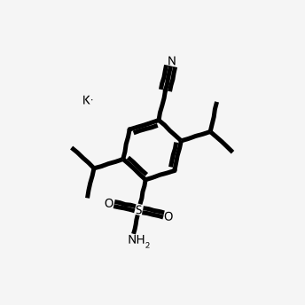 CC(C)c1cc(S(N)(=O)=O)c(C(C)C)cc1C#N.[K]